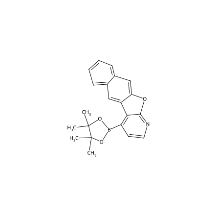 CC1(C)OB(c2ccnc3oc4cc5ccccc5cc4c23)OC1(C)C